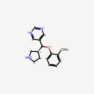 COc1ccccc1OC(c1cncnc1)[C@H]1CCNC1